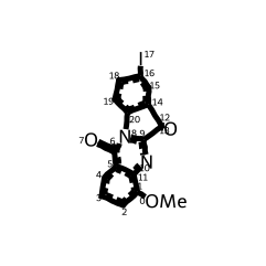 COc1cccc2c(=O)n3c(nc12)C(=O)c1cc(I)ccc1-3